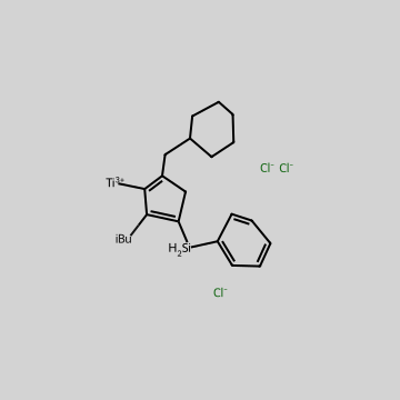 CCC(C)C1=C([SiH2]c2ccccc2)CC(CC2CCCCC2)=[C]1[Ti+3].[Cl-].[Cl-].[Cl-]